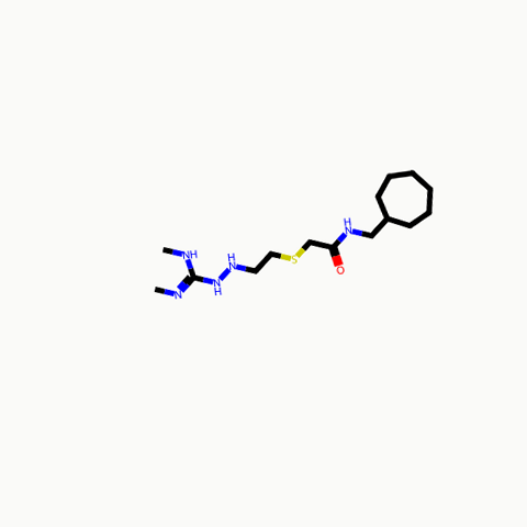 C/N=C(\NC)NNCCSCC(=O)NCC1CCCCCC1